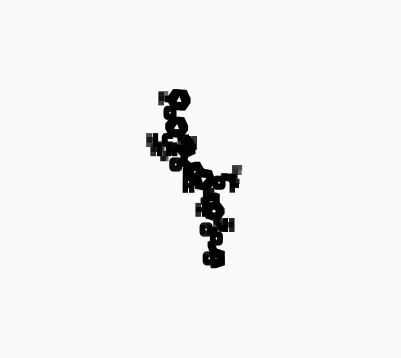 Cc1cc(Oc2ccccc2F)ccc1-n1ncc(C(=O)c2cc3cc(OCC(F)F)c(N4CC5C[C@@H](NC(=O)OCc6ccco6)C[C@H]5C4)cc3[nH]2)c1N